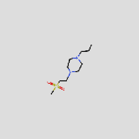 CCCN1CCN(CCS(C)(=O)=O)CC1